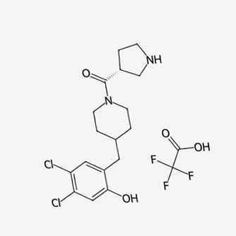 O=C(O)C(F)(F)F.O=C([C@@H]1CCNC1)N1CCC(Cc2cc(Cl)c(Cl)cc2O)CC1